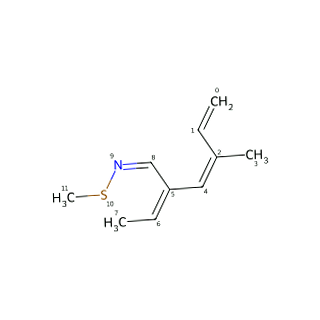 C=C/C(C)=C\C(=CC)/C=N\SC